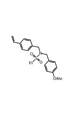 C=Cc1ccc(CN(Cc2ccc(OC)cc2)S(=O)(=O)CC)cc1